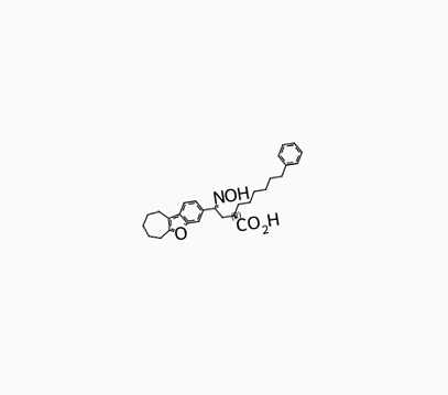 O=C(O)[C@H](CCCCCCc1ccccc1)CC(=NO)c1ccc2c3c(oc2c1)CCCCC3